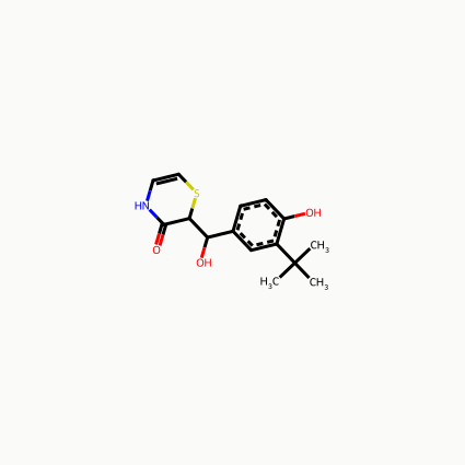 CC(C)(C)c1cc(C(O)C2SC=CNC2=O)ccc1O